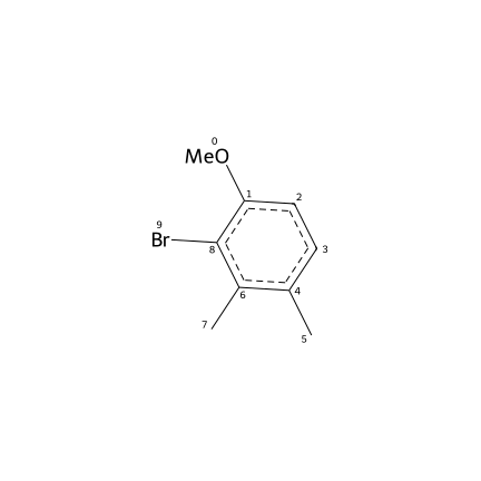 COc1ccc(C)c(C)c1Br